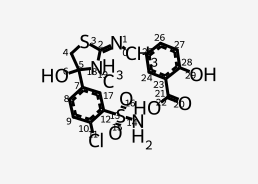 CN=C1SCC(O)(c2ccc(Cl)c(S(N)(=O)=O)c2)N1C.O=C(O)c1ccccc1O